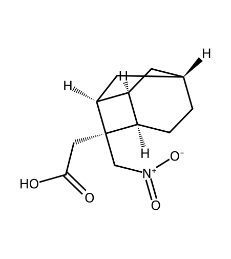 O=C(O)C[C@@]1(C[N+](=O)[O-])[C@@H]2CC[C@H]3C[C@@H]2[C@@H]1C3